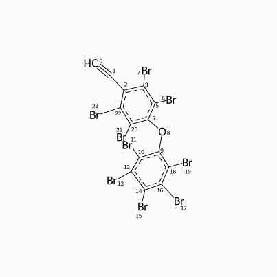 C#Cc1c(Br)c(Br)c(Oc2c(Br)c(Br)c(Br)c(Br)c2Br)c(Br)c1Br